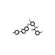 Cc1ccc(-c2cnc3ccc(Oc4cc(NC(=O)c5cccc(F)c5)ccc4F)cc3n2)cn1